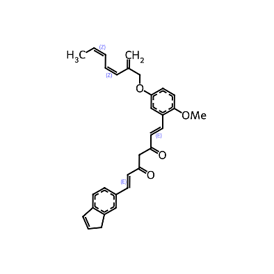 C=C(/C=C\C=C/C)COc1ccc(OC)c(/C=C/C(=O)CC(=O)/C=C/c2ccc3c(c2)CC=C3)c1